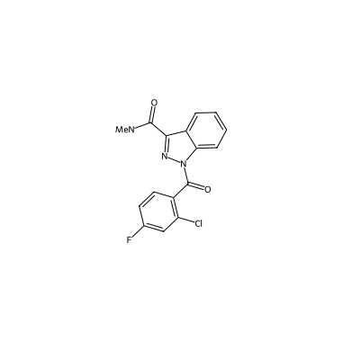 CNC(=O)c1nn(C(=O)c2ccc(F)cc2Cl)c2ccccc12